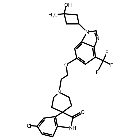 CC1(O)CC(n2cnc3c(C(F)(F)F)cc(OCCN4CCC5(CC4)C(=O)Nc4ccc(Cl)cc45)cc32)C1